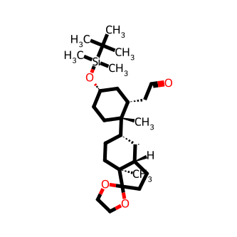 CC(C)(C)[Si](C)(C)O[C@H]1CC[C@@](C)([C@@H]2[CH][C@@H]3CCC4(OCCO4)[C@@]3(C)CC2)[C@@H](CC=O)C1